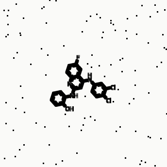 Oc1ccccc1Nc1cc(Nc2ccc(Cl)c(Cl)c2)c2cc(F)ccc2n1